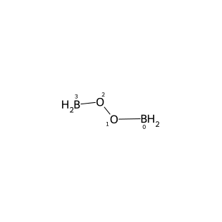 BOOB